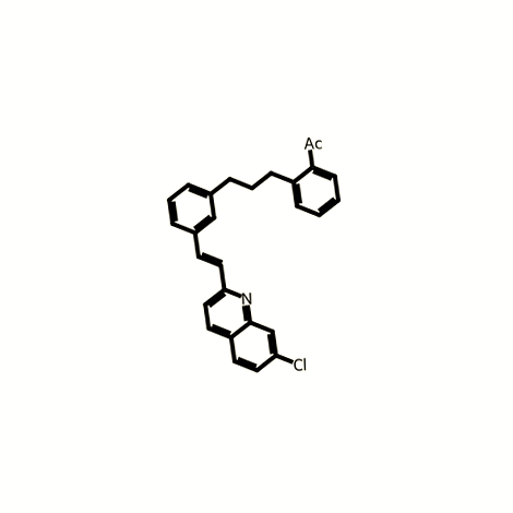 CC(=O)c1ccccc1CCCc1cccc(/C=C/c2ccc3ccc(Cl)cc3n2)c1